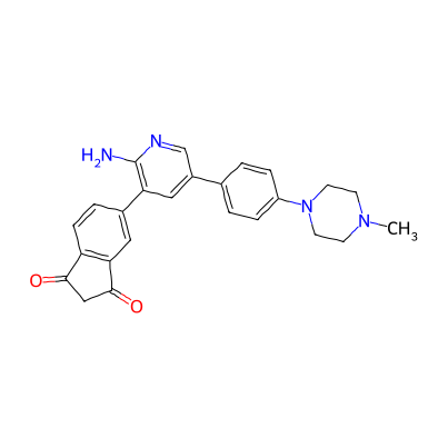 CN1CCN(c2ccc(-c3cnc(N)c(-c4ccc5c(c4)C(=O)CC5=O)c3)cc2)CC1